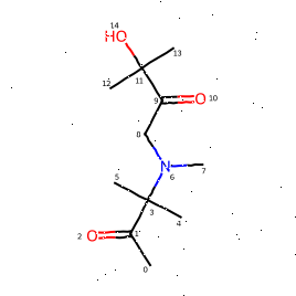 CC(=O)C(C)(C)N(C)CC(=O)C(C)(C)O